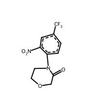 O=C1COCCN1c1ccc(C(F)(F)F)cc1[N+](=O)[O-]